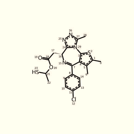 Cc1sc2c(c1C)C(c1ccc(Cl)cc1)=N[C@H](CC(=O)OC(C)S)c1nnc(C)n1-2